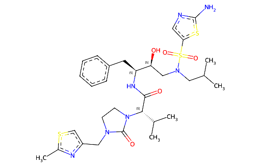 Cc1nc(CN2CCN([C@H](C(=O)N[C@@H](Cc3ccccc3)[C@@H](O)CN(CC(C)C)S(=O)(=O)c3cnc(N)s3)C(C)C)C2=O)cs1